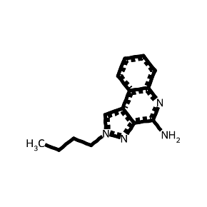 CCCCn1cc2c(n1)c(N)nc1ccccc12